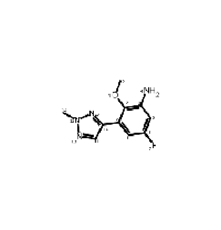 COc1c(N)cc(F)cc1-c1cnn(C)n1